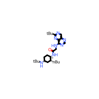 CCCC[C@@H]1C[C@H](NC(C)(C)C)CC[C@@H]1NC(=O)CNc1ncnc2cnc(C(C)(C)C)nc12